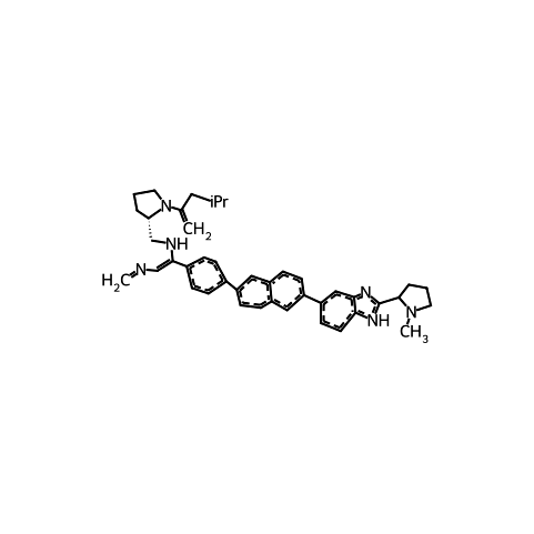 C=N/C=C(\NC[C@@H]1CCCN1C(=C)CC(C)C)c1ccc(-c2ccc3cc(-c4ccc5[nH]c(C6CCCN6C)nc5c4)ccc3c2)cc1